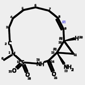 CN1CCCCCC/C=C\[C@@H]2C[C@]2(N)C(=O)NS1(=O)=O